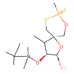 B[C@@H]1O[C@@]2(COP(C)(=S)SC2)C(C)[C@@H]1O[Si](C)(C)C(C)(C)C